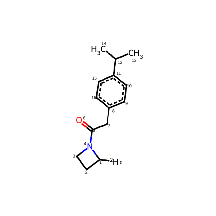 [2H]C1CCN1C(=O)Cc1ccc(C(C)C)cc1